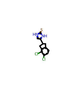 S=c1[nH]cc(C2Cc3ccc(Cl)c(Cl)c3C2)[nH]1